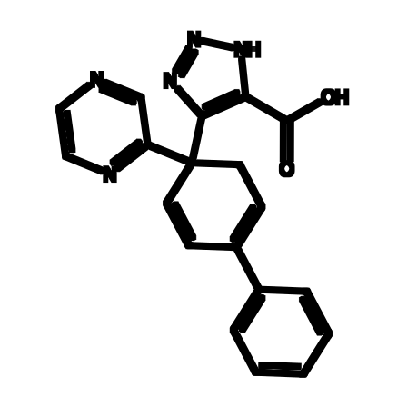 O=C(O)c1[nH]nnc1C1(c2cnccn2)C=CC(c2ccccc2)=CC1